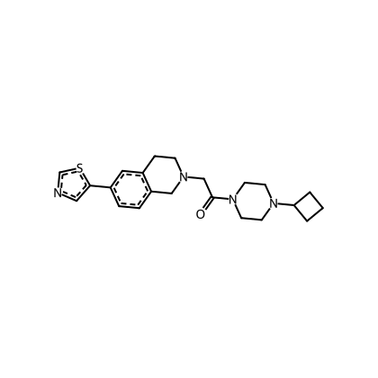 O=C(CN1CCc2cc(-c3cncs3)ccc2C1)N1CCN(C2CCC2)CC1